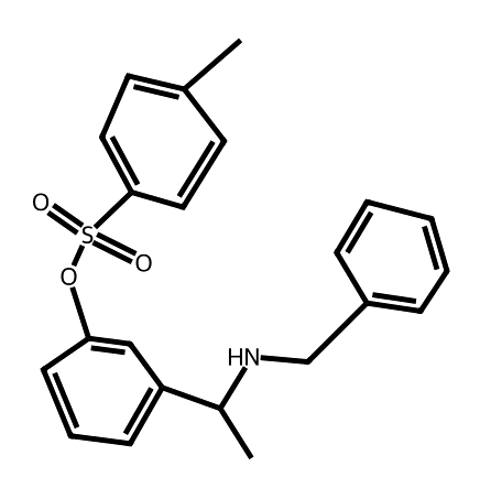 Cc1ccc(S(=O)(=O)Oc2cccc(C(C)NCc3ccccc3)c2)cc1